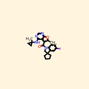 Cc1oc2ncnc(NC3(C)CC3)c2c1C(=O)NCC1(c2cccc(I)c2)CCCC1